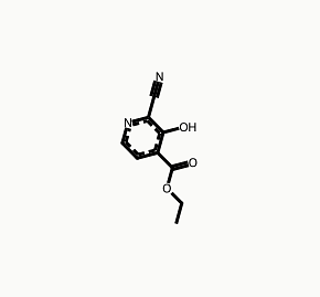 CCOC(=O)c1ccnc(C#N)c1O